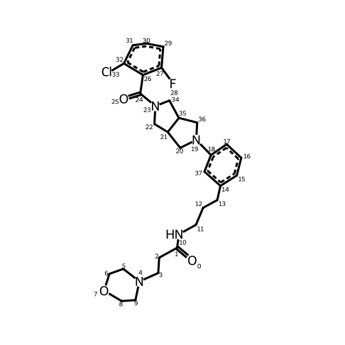 O=C(CCN1CCOCC1)NCCCc1cccc(N2CC3CN(C(=O)c4c(F)cccc4Cl)CC3C2)c1